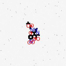 CCc1nc(C)c(C(=O)OC)c(-c2cccc([N+](=O)[O-])c2)c1C(=O)NCC(=O)OC(C)(C)C